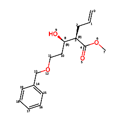 C=CC[C@@H](C(=O)OC)[C@H](O)CCOCc1ccccc1